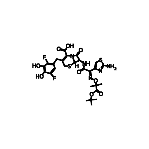 CC(C)(C)OC(=O)C(C)(C)O/N=C(/C(=O)NC1C(=O)N2C(C(=O)O)=C(Cc3cc(F)c(O)c(O)c3F)CS[C@H]12)c1csc(N)n1